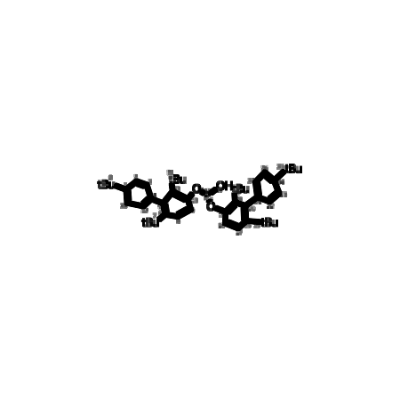 CC(C)(C)c1ccc(-c2c(C(C)(C)C)ccc(OP(O)Oc3ccc(C(C)(C)C)c(-c4ccc(C(C)(C)C)cc4)c3C(C)(C)C)c2C(C)(C)C)cc1